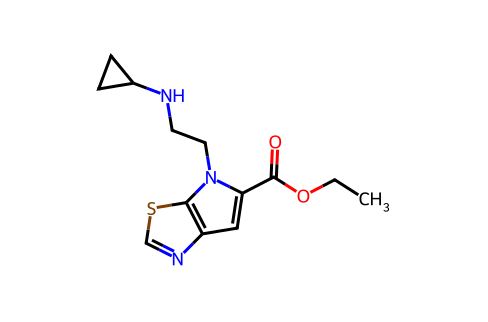 CCOC(=O)c1cc2ncsc2n1CCNC1CC1